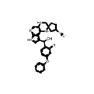 [C-]#[N+]C1CCC2(CNc3cnc4[nH]cc(C(O)c5ccc(Oc6ccccc6)cc5Cl)c4c3N2)C1